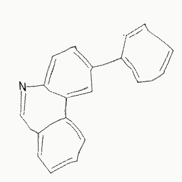 [c]1ccccc1-c1ccc2ncc3ccccc3c2c1